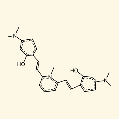 CN(C)c1ccc(/C=C/c2cccc(/C=C/c3ccc(N(C)C)cc3O)[n+]2C)c(O)c1